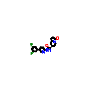 O=C(C[C@H]1CCN2C(=O)CCC2C1)Nc1ccc(-c2cc(F)cc(F)c2)cn1